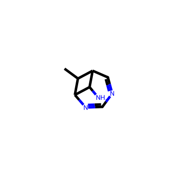 CC1C2C=NC=NC1C2N